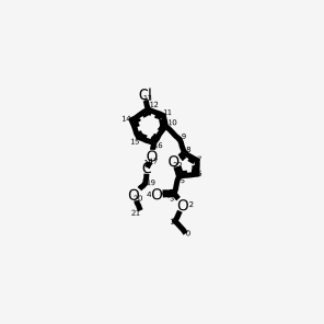 CCOC(=O)c1ccc(Cc2cc(Cl)ccc2OCCOC)o1